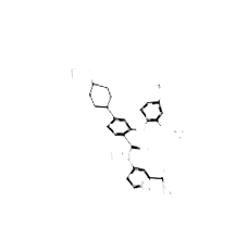 COc1cc(OC(F)(F)F)ccc1Oc1cc(C2CCC(C(F)(F)F)CC2)ccc1C(=O)Nc1ccnc(C(N)=O)c1